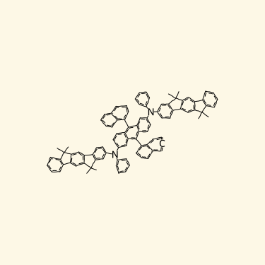 CC1(C)c2ccccc2-c2cc3c(cc21)-c1ccc(N(c2ccccc2)c2ccc4c(-c5cccc6ccccc56)c5cc(N(c6ccccc6)c6ccc7c(c6)C(C)(C)c6cc8c(cc6-7)C(C)(C)c6ccccc6-8)ccc5c(-c5cccc6ccccc56)c4c2)cc1C3(C)C